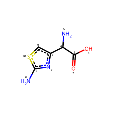 Nc1nc(C(N)C(=O)O)cs1